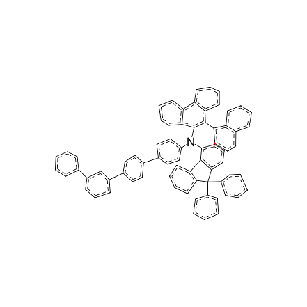 c1ccc(-c2cccc(-c3ccc(-c4ccc(N(c5cccc6c5-c5ccccc5C6(c5ccccc5)c5ccccc5)c5c(-c6cccc7ccccc67)c6ccccc6c6ccccc56)cc4)cc3)c2)cc1